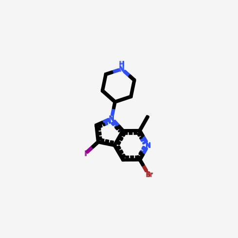 Cc1nc(Br)cc2c(I)cn(C3CCNCC3)c12